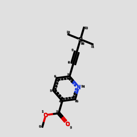 COC(=O)c1ccc(C#C[Si](C)(C)C)nc1